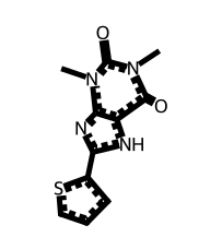 Cn1c(=O)c2[nH]c(-c3cccs3)nc2n(C)c1=O